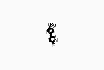 CC(C)(C)c1ccc(-c2ccc(F)nc2)nc1